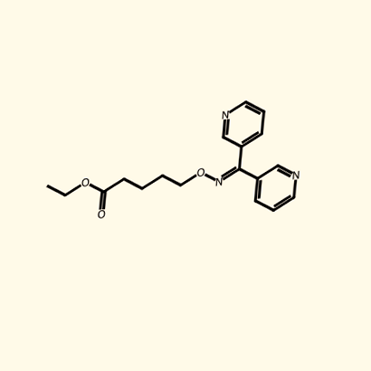 CCOC(=O)CCCCON=C(c1cccnc1)c1cccnc1